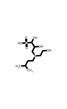 CC(C)CCN(CCO)CC(O)C(O)S(=O)(=O)O